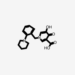 O=C(O)c1cn(Cc2ccccc2N2CCCCC2)cc(O)c1=O